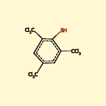 Sc1c(C(Cl)(Cl)Cl)cc(C(Cl)(Cl)Cl)cc1C(Cl)(Cl)Cl